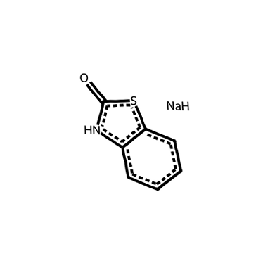 O=c1[nH]c2ccccc2s1.[NaH]